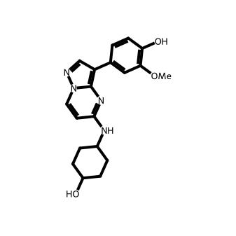 COc1cc(-c2cnn3ccc(NC4CCC(O)CC4)nc23)ccc1O